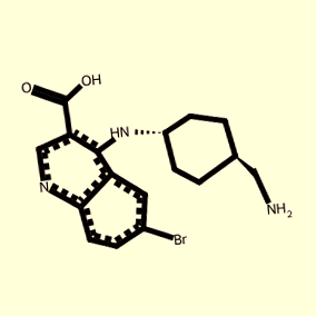 NC[C@H]1CC[C@H](Nc2c(C(=O)O)cnc3ccc(Br)cc23)CC1